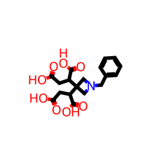 O=C(O)CC(C(=O)O)C1(C(CC(=O)O)C(=O)O)CN(Cc2ccccc2)C1